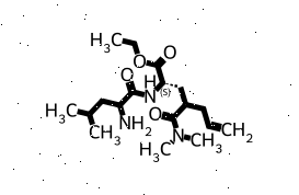 C=CCC(C[C@H](NC(=O)C(N)CC(C)C)C(=O)OCC)C(=O)N(C)C